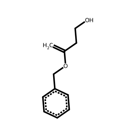 C=C(CCO)OCc1ccccc1